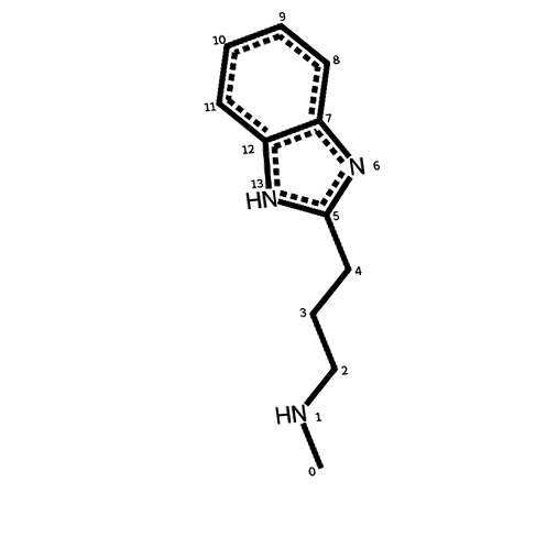 CNCCCc1nc2ccccc2[nH]1